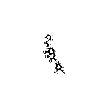 COc1cc(NCc2cc3ccc(OCCN4CCCC4)c(Cl)c3[nH]c2=O)ccc1C#N